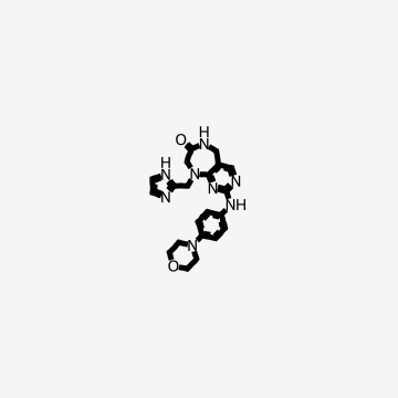 O=C1CN(Cc2ncc[nH]2)c2nc(Nc3ccc(N4CCOCC4)cc3)ncc2CN1